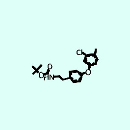 Cc1ccc(Oc2ccc(CCNC(=O)OC(C)(C)C)cc2)cc1Cl